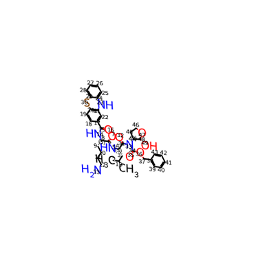 CC(C)C[C@H](NC(=O)[C@H](CCCCN)NC(=O)c1ccc2c(c1)Nc1ccccc1S2)C(=O)N(C(=O)OCc1ccccc1)[C@H]1CCOC1O